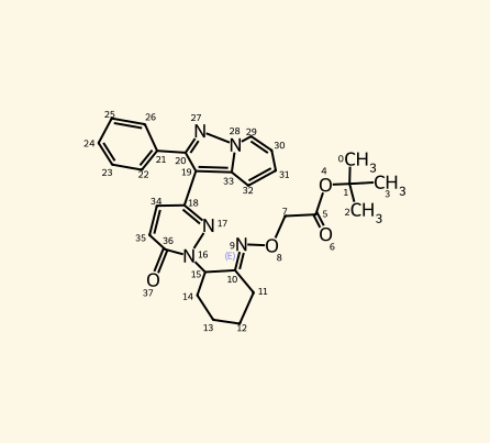 CC(C)(C)OC(=O)CO/N=C1\CCCCC1n1nc(-c2c(-c3ccccc3)nn3ccccc23)ccc1=O